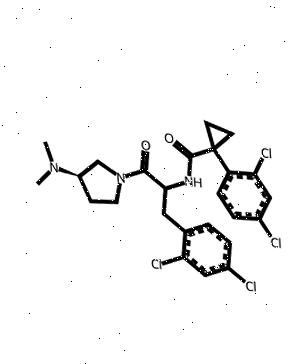 CN(C)[C@@H]1CCN(C(=O)C(Cc2ccc(Cl)cc2Cl)NC(=O)C2(c3ccc(Cl)cc3Cl)CC2)C1